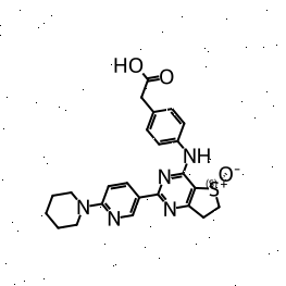 O=C(O)Cc1ccc(Nc2nc(-c3ccc(N4CCCCC4)nc3)nc3c2[S@+]([O-])CC3)cc1